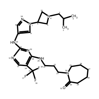 CC(C)CN1CC(n2cc(Nc3ncc(C(F)(F)F)c(NCCCN4CCCCCC4=O)n3)cn2)C1